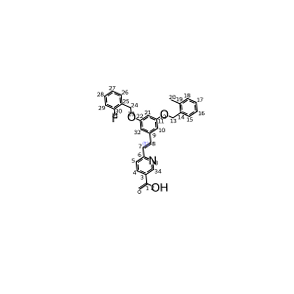 C=C(O)c1ccc(/C=C/c2cc(OCc3ccccc3C)cc(OCc3ccccc3F)c2)nc1